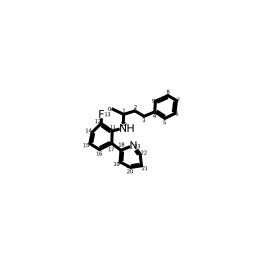 CC(CCc1ccccc1)Nc1c(F)cccc1-c1c[c]ccn1